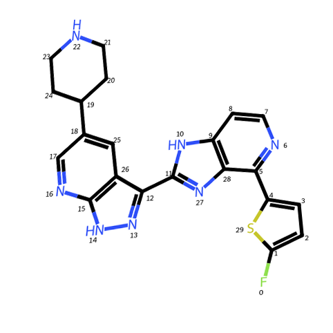 Fc1ccc(-c2nccc3[nH]c(-c4n[nH]c5ncc(C6CCNCC6)cc45)nc23)s1